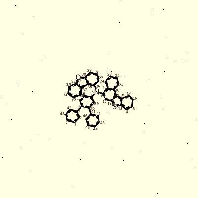 c1ccc(-c2ccc(N(c3cc4sc5ccccc5c4c4ccccc34)c3cccc4oc5ccccc5c34)cc2-c2ccccc2)cc1